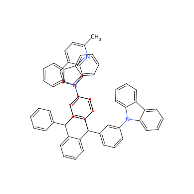 Cc1ccc2ccc(-c3ccc4c(c3)C3(c5ccccc5)c5ccccc5C4(c4cccc(-n5c6ccccc6c6ccccc65)c4)c4ccc(-n5c6ccccc6c6ccccc65)cc43)cc2n1